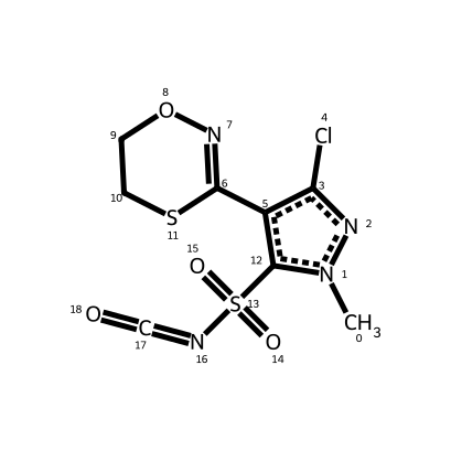 Cn1nc(Cl)c(C2=NOCCS2)c1S(=O)(=O)N=C=O